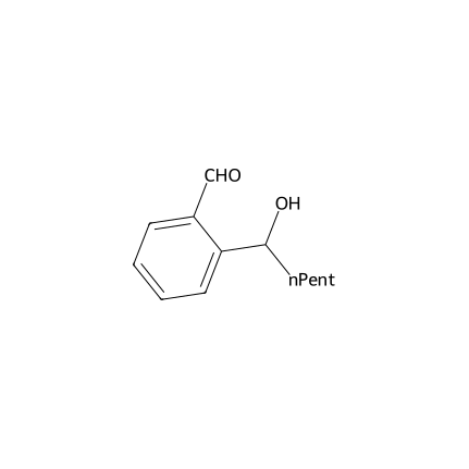 CCCCCC(O)c1ccccc1C=O